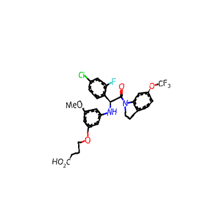 COc1cc(NC(C(=O)N2CCc3ccc(OC(F)(F)F)cc32)c2ccc(Cl)cc2F)cc(OCCCC(=O)O)c1